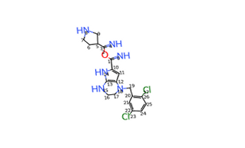 N=C(OC(=N)C1CCNC1)c1cc2c([nH]1)NCCN2Cc1cc(Cl)ccc1Cl